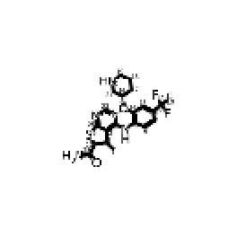 CC1c2c(Nc3ccc(C(F)(F)F)cc3O[C@H]3CCCNC3)ncnc2SC1C(N)=O